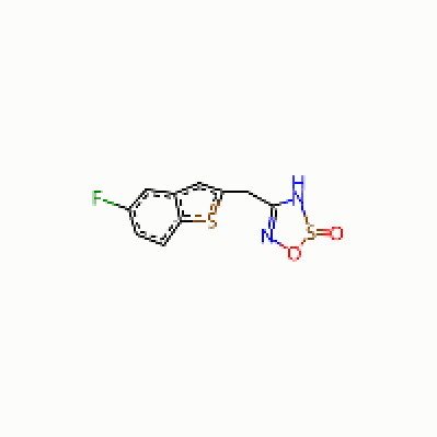 O=S1NC(Cc2cc3cc(F)ccc3s2)=NO1